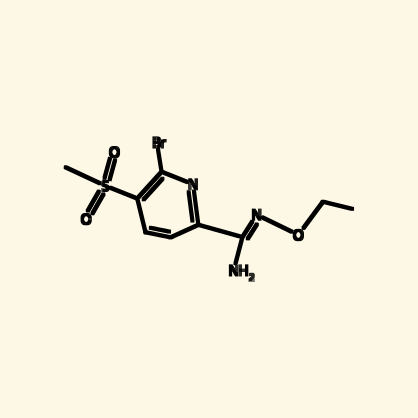 CCON=C(N)c1ccc(S(C)(=O)=O)c(Br)n1